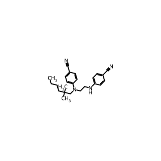 CCCCC(C)(C)CN(CCNc1ccc(C#N)cc1)c1ccc(C#N)cc1